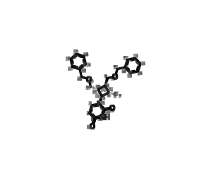 O=c1ccn([C@@H]2[C@@H](F)[C@H](COCc3ccccc3)[C@H]2COCc2ccccc2)c(=O)[nH]1